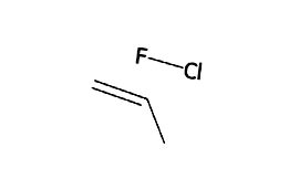 C=CC.FCl